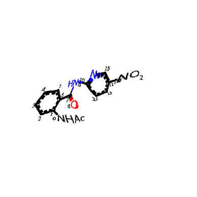 CC(=O)Nc1ccccc1C(=O)Nc1ccc([N+](=O)[O-])cn1